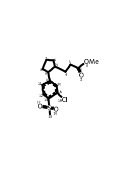 COC(=O)CCC1CCCC1c1ccc(S(C)(=O)=O)c(Cl)c1